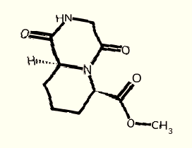 COC(=O)[C@H]1CCC[C@H]2C(=O)NCC(=O)N12